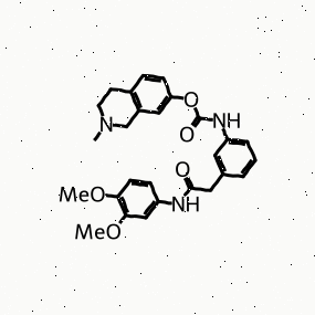 COc1ccc(NC(=O)Cc2cccc(NC(=O)Oc3ccc4c(c3)CN(C)CC4)c2)cc1OC